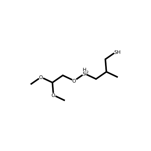 COC(CO[SiH2]CC(C)CS)OC